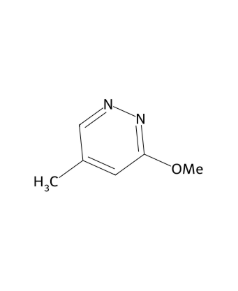 COc1cc(C)cnn1